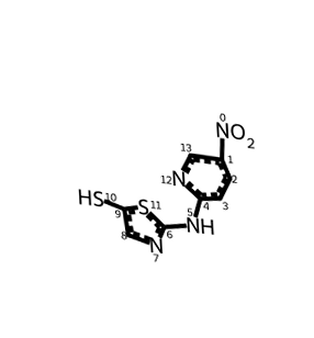 O=[N+]([O-])c1ccc(Nc2ncc(S)s2)nc1